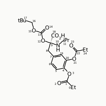 CCC(=O)Oc1ccc(C[C@](NC(C)C)(OC(=O)OCC(C)(C)C)C(=O)O)cc1OC(=O)CC